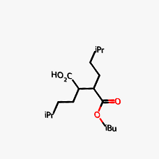 CCC(C)OC(=O)C(CCC(C)C)C(CCC(C)C)C(=O)O